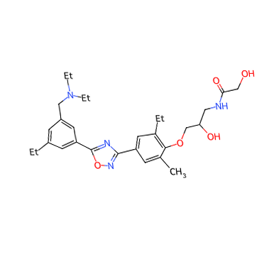 CCc1cc(CN(CC)CC)cc(-c2nc(-c3cc(C)c(OCC(O)CNC(=O)CO)c(CC)c3)no2)c1